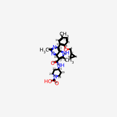 Cc1ccc(OCC2CC2)c(-c2nc(C)nc3c(C(=O)NC4CCN(C(=O)O)CC4)c(C)[nH]c23)c1